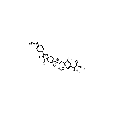 CCCCCc1ccc(C2=NC3(CCN(S(=O)(=O)CCc4c(C)cc(N(C)C(N)=O)cc4C)CC3)C(=O)N2)cc1